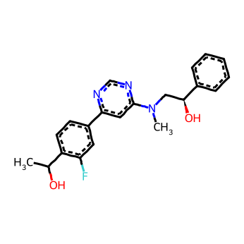 CC(O)c1ccc(-c2cc(N(C)C[C@H](O)c3ccccc3)ncn2)cc1F